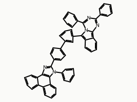 c1ccc(-c2nc(-c3ccccc3)n3c(-c4cccc(-c5ccc(-c6nc7c8ccccc8c8ccccc8c7n6-c6ccccc6)cc5)c4)c4ccccc4c3n2)cc1